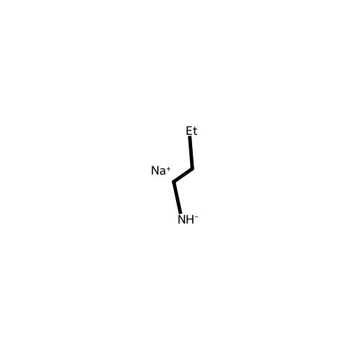 CCCC[NH-].[Na+]